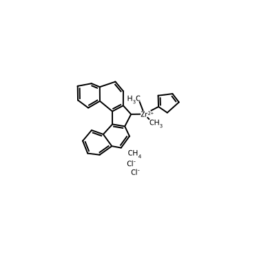 C.[CH3][Zr+2]([CH3])([C]1=CC=CC1)[CH]1c2ccc3ccccc3c2-c2c1ccc1ccccc21.[Cl-].[Cl-]